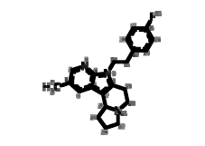 Cc1cnc2c(c1)c1c(n2CCc2ccc(F)cc2)CCN2CCCC12